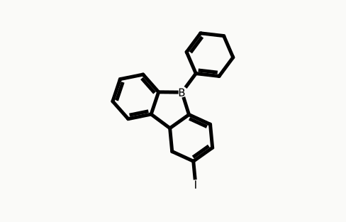 IC1=CC=C2B(C3=CCCC=C3)c3ccccc3C2C1